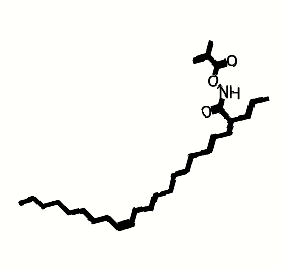 C=C(C)C(=O)ONC(=O)C(CCC)CCCCCCCCCC/C=C\CCCCCCCC